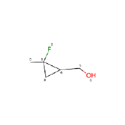 CC1(F)CC1CO